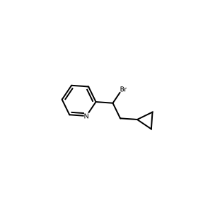 BrC(CC1CC1)c1ccccn1